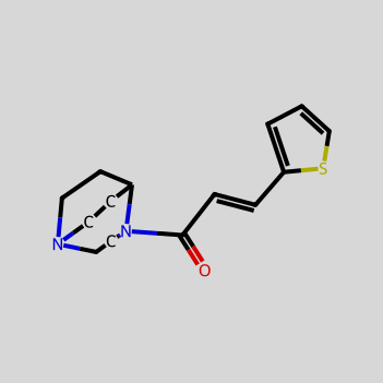 O=C(/C=C/c1cccs1)N1CCN2CCC1CC2